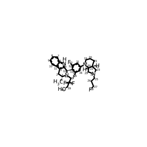 C[C@@H]1Cc2c([nH]c3ccccc23)[C@@H](c2c(F)cc(N3CCC[C@@H]4CN(CCCF)C[C@@H]43)cc2F)N1CC(F)(F)CO